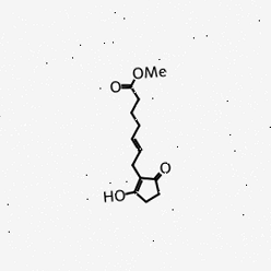 COC(=O)CCCC=CCC1=C(O)CCC1=O